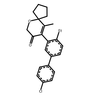 CCc1ccc(-c2ccc(Cl)cc2)cc1C1=C(C)C2(CCCC2)OCC1=O